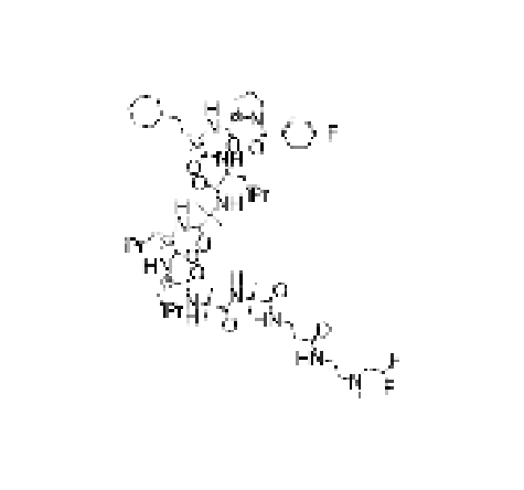 CC(C)C[C@H](NC(=O)[C@H](CCC1CCCCC1)NC(=O)[C@@H]1CCCN1C(=O)c1ccc(F)cc1)C(=O)NC(C)(C)C(=O)N[C@@H](CC(C)C)C(=O)N[C@@H](CC(C)C)C(=O)NC(C)(C)C(=O)NC(C)(C)C(=O)NCCC(=O)NCCN(C)CC(F)F